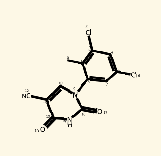 Cc1c(Cl)cc(Cl)cc1-n1cc(C#N)c(=O)[nH]c1=O